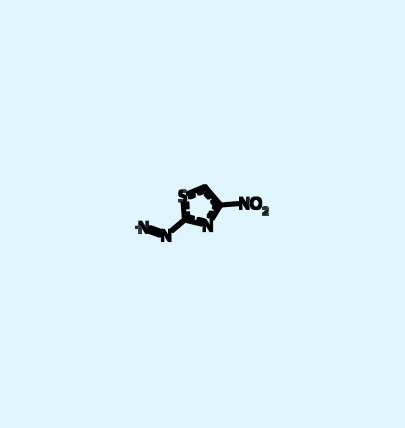 [N]=Nc1nc([N+](=O)[O-])cs1